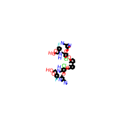 C/N=C/c1cncc(COc2cc(OCc3cccc(-c4cccc(COc5cc(OCc6cncc(C#N)c6)c(CNC(CC(=O)O)c6ccc(F)cc6)cc5Cl)c4C)c3C)c(Cl)cc2CNC(CC(=O)O)c2ccc(F)cc2)c1